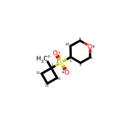 CC1(S(=O)(=O)C2CCOCC2)CCC1